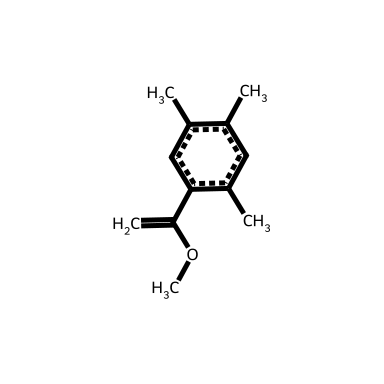 C=C(OC)c1cc(C)c(C)cc1C